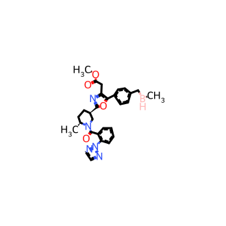 CBCc1ccc(-c2oc([C@@H]3CC[C@@H](C)N(C(=O)c4ccccc4-n4nccn4)C3)nc2CC(=O)OC)cc1